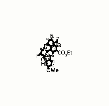 CCOC(=O)/C(=C(\SCc1ccc(OC)cc1)C(c1ncc(F)c(O)n1)c1ccc(F)cc1F)C1OC(C)O1